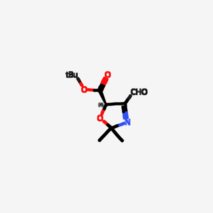 CC(C)(C)OC(=O)[C@@H]1OC(C)(C)N=C1C=O